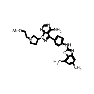 COCCN1CCC(n2nc(-c3ccc(Nc4nc5cc(C)cc(C)c5o4)cc3)c3c(N)ncnc32)C1